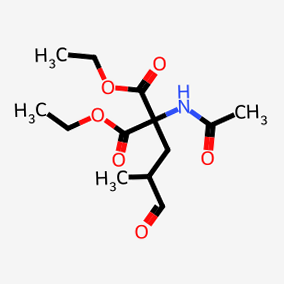 CCOC(=O)C(CC(C)C=O)(NC(C)=O)C(=O)OCC